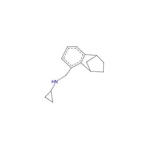 c1cc(CNC2CC2)c2c(c1)C1CCC2C1